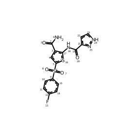 NC(=O)c1cc(S(=O)(=O)c2ccc(F)cc2)sc1NC(=O)c1cc[nH]n1